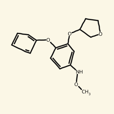 CONc1ccc(Oc2ccccc2)c(OC2CCOC2)c1